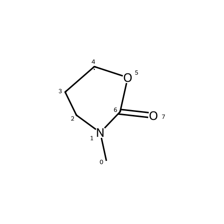 CN1CC[CH]OC1=O